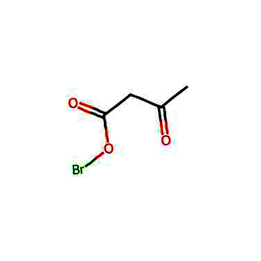 CC(=O)CC(=O)OBr